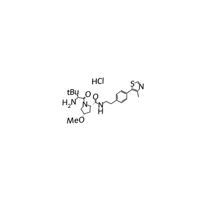 CO[C@H]1C[C@@H](C(=O)NCCc2ccc(-c3scnc3C)cc2)N(C(=O)[C@@H](N)C(C)(C)C)C1.Cl